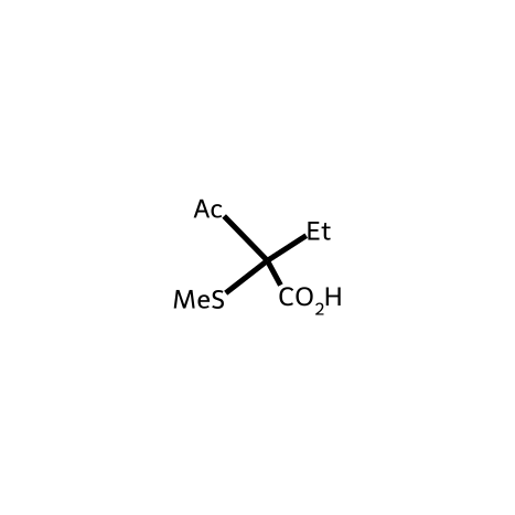 CCC(SC)(C(C)=O)C(=O)O